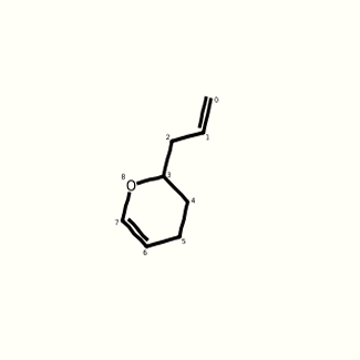 C=CCC1CCC=CO1